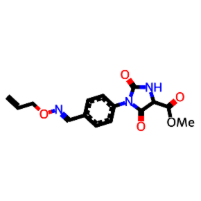 C=CCON=Cc1ccc(N2C(=O)NC(C(=O)OC)C2=O)cc1